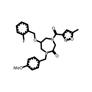 COc1ccc(CN2CC(OCc3ccccc3F)CN(C(=O)c3cc(C)on3)CC2=O)cc1